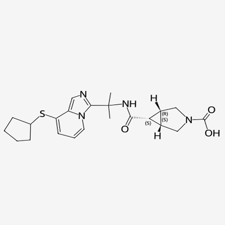 CC(C)(NC(=O)[C@@H]1[C@@H]2CN(C(=O)O)C[C@@H]21)c1ncc2c(SC3CCCC3)cccn12